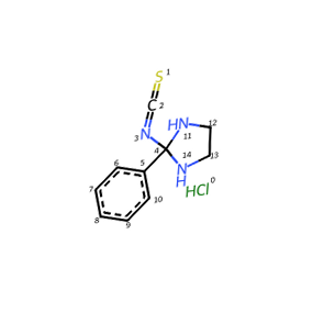 Cl.S=C=NC1(c2ccccc2)NCCN1